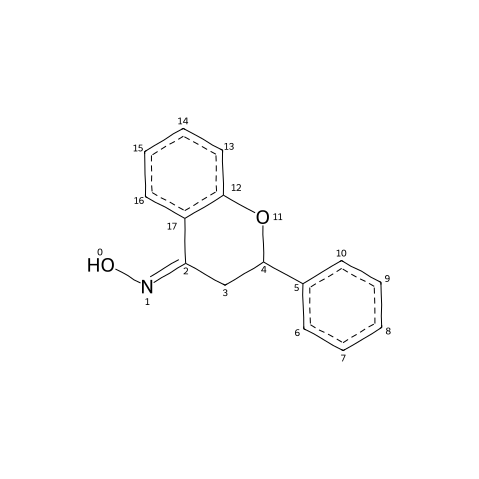 O/N=C1/CC(c2ccccc2)Oc2ccccc21